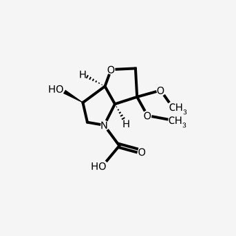 COC1(OC)CO[C@@H]2[C@H](O)CN(C(=O)O)[C@@H]21